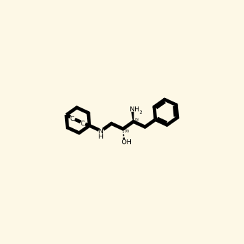 N[C@@H](Cc1ccccc1)[C@H](O)CNC12CCC(CC1)CC2